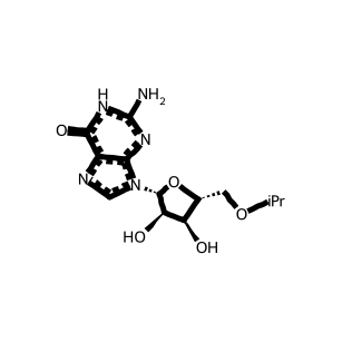 CC(C)OC[C@H]1O[C@@H](n2cnc3c(=O)[nH]c(N)nc32)[C@H](O)[C@@H]1O